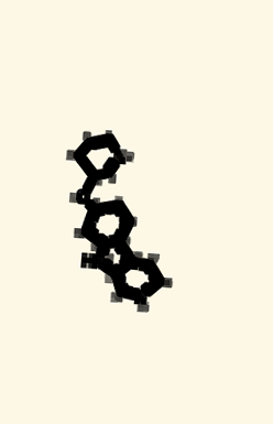 C1=CN=CC(Oc2ccc3c(c2)[nH]c2cnccc23)C1